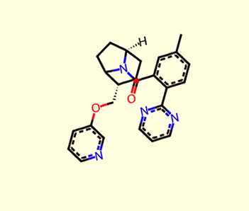 Cc1ccc(-c2ncccn2)c(C(=O)N2C3CC[C@H]2CC[C@@H]3COc2cccnc2)c1